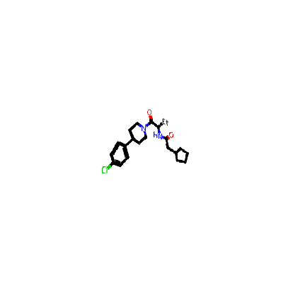 CCC(NC(=O)CC1CCCC1)C(=O)N1CCC(c2ccc(Cl)cc2)CC1